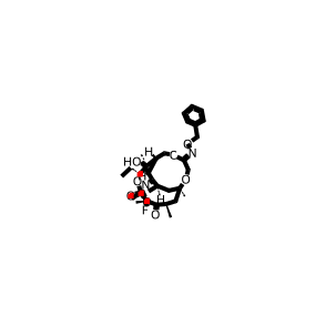 CC[C@H]1OC(=O)[C@@](C)(F)C(=O)[C@H](C)C[C@@]2(C)C[C@@H](C)/C(=N\C(C)=O)[C@H](C)[C@@H](CC/C(=N\OCc3ccccc3)CO2)[C@]1(C)O